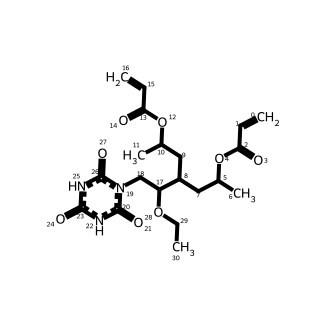 C=CC(=O)OC(C)CC(CC(C)OC(=O)C=C)C(Cn1c(=O)[nH]c(=O)[nH]c1=O)OCC